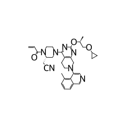 C=CC(=O)N1CCN(c2nc(O[C@@H](C)COC3CC3)nc3c2CCN(c2cncc4cccc(C)c24)C3)C[C@@H]1CC#N